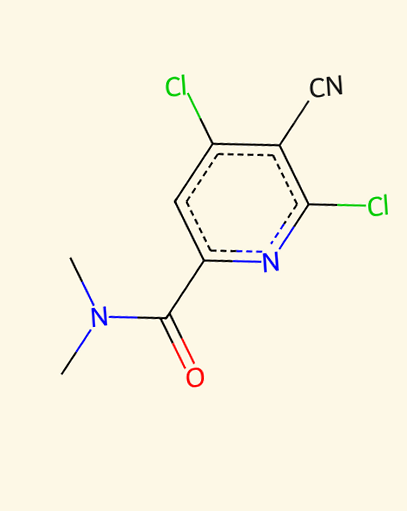 CN(C)C(=O)c1cc(Cl)c(C#N)c(Cl)n1